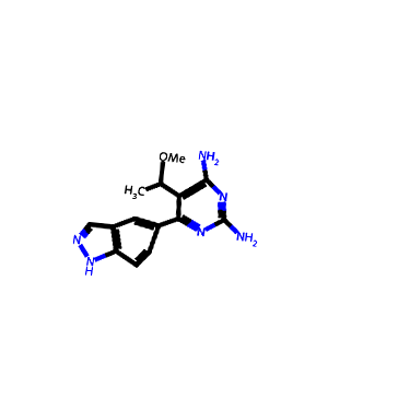 COC(C)c1c(N)nc(N)nc1-c1ccc2[nH]ncc2c1